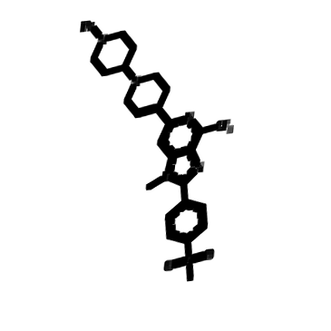 CC(C)N1CCC(N2CC=C(c3cc4c(nc(-c5ccc(S(C)(=O)=O)cc5)n4C)c(C(F)(F)F)n3)CC2)CC1